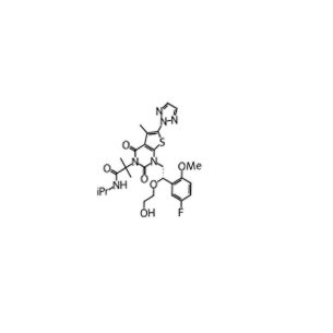 COc1ccc(F)cc1[C@@H](Cn1c(=O)n(C(C)(C)C(=O)NC(C)C)c(=O)c2c(C)c(-n3nccn3)sc21)OCCO